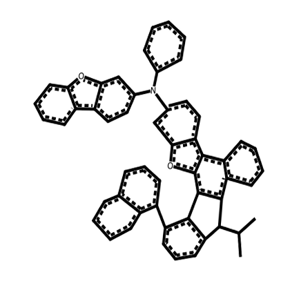 CC(C)C1c2cccc(-c3cccc4ccccc34)c2-c2c1c1ccccc1c1c2oc2cc(N(c3ccccc3)c3ccc4c(c3)oc3ccccc34)ccc21